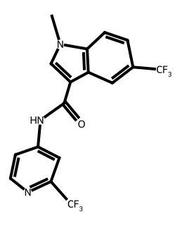 Cn1cc(C(=O)Nc2ccnc(C(F)(F)F)c2)c2cc(C(F)(F)F)ccc21